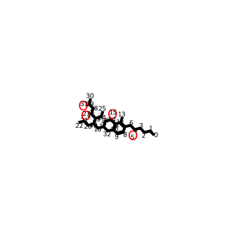 CCCCC(=O)Cc1ccc2c(c1C)C(=O)CC(CC(CCC)C(CC)C(=O)CC(C)=O)C2